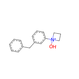 O[N+]1(c2cccc(Cc3ccccc3)c2)CCC1